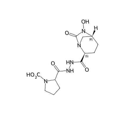 O=C(NNC(=O)[C@@H]1CC[C@@H]2CN1C(=O)N2O)C1CCCN1C(=O)O